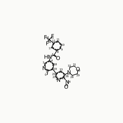 Cc1ncc(NC(=O)c2cccc(C(F)(F)F)c2)cc1-c1cnc(N=O)c(N2CCOCC2)c1